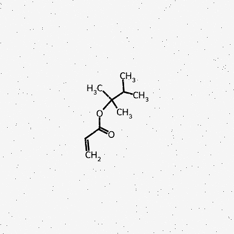 C=CC(=O)OC(C)(C)C(C)C